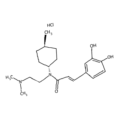 CN(C)CCN(C(=O)C=Cc1ccc(O)c(O)c1)[C@H]1CC[C@H](C)CC1.Cl